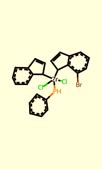 [Cl][Zr]([Cl])([PH]c1ccccc1)([CH]1C=Cc2ccccc21)[CH]1C=Cc2cccc(Br)c21